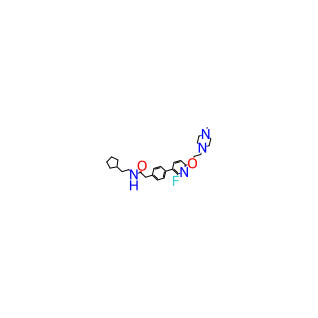 CN1CCN(CCOc2ccc(-c3ccc(CC(=O)NCCC4CCCC4)cc3)c(F)n2)CC1